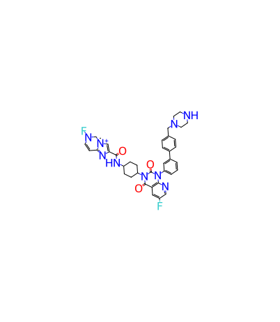 O=C(NC1CCC(n2c(=O)c3cc(F)cnc3n(-c3cccc(-c4ccc(CN5CCNCC5)cc4)c3)c2=O)CC1)C1=C[N+]2CN(F)C=CC2=N1